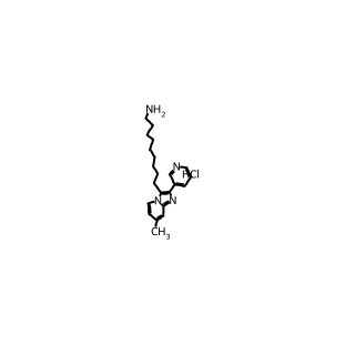 Cc1ccn2c(CCCCCCCCCN)c(-c3cccnc3)nc2c1.Cl